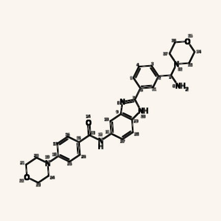 NC(c1cccc(-c2nc3cc(NC(=O)c4ccc(N5CCOCC5)cc4)ccc3[nH]2)c1)N1CCOCC1